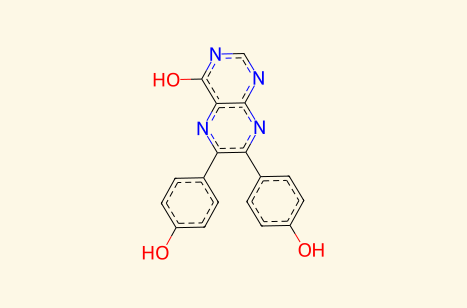 Oc1ccc(-c2nc3ncnc(O)c3nc2-c2ccc(O)cc2)cc1